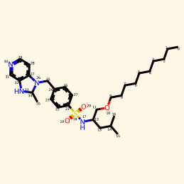 CCCCCCCCCCOCC(CC(C)C)NS(=O)(=O)c1ccc(CN2c3ccncc3NC2C)cc1